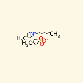 CCCCCCCC[n+]1ccc(C)cc1.Cc1ccc(S(=O)(=O)[O-])cc1